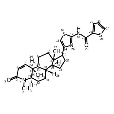 CN1C(=O)C=C[C@]2(C)[C@H]3CC[C@]4(C)C(c5csc(NC(=O)c6cccs6)n5)CC[C@H]4[C@@H]3CC[C@@H]12